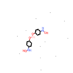 ONc1ccc(OBOc2ccc(NO)cc2)cc1